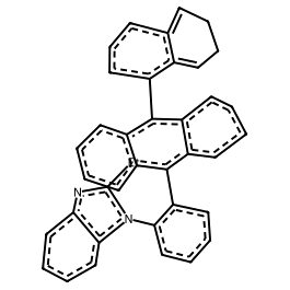 CCc1nc2ccccc2n1-c1ccccc1-c1c2ccccc2c(-c2cccc3c2=CCCC=3)c2ccccc12